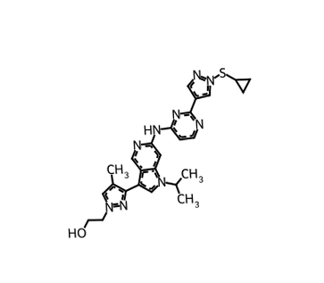 Cc1cn(CCO)nc1-c1cn(C(C)C)c2cc(Nc3ccnc(-c4cnn(SC5CC5)c4)n3)ncc12